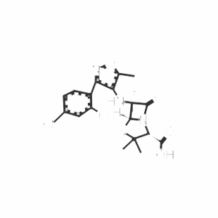 Cc1onc(-c2ccc(Cl)cc2Cl)c1N[C@@]1(C)C(=O)N2[C@@H](C(=O)O)C(C)(C)S[C@@H]21